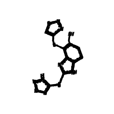 Sc1ccc2[nH]c(Sc3nnn[nH]3)nc2c1Sc1csnn1